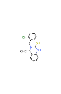 O=CC1c2ccccc2NC(S)N1Cc1ccccc1Cl